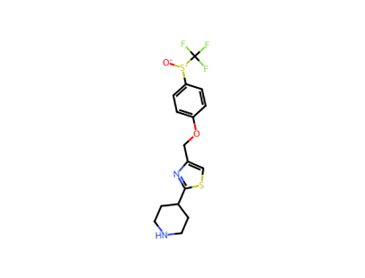 [O-][S+](c1ccc(OCc2csc(C3CCNCC3)n2)cc1)C(F)(F)F